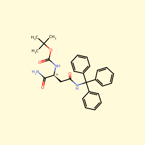 CC(C)(C)OC(=O)N[C@@H](CC(=O)NC(c1ccccc1)(c1ccccc1)c1ccccc1)C(N)=O